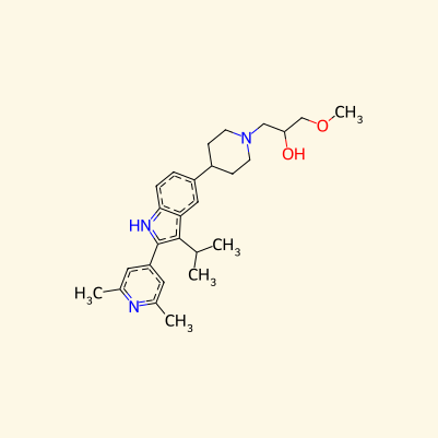 COCC(O)CN1CCC(c2ccc3[nH]c(-c4cc(C)nc(C)c4)c(C(C)C)c3c2)CC1